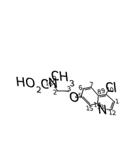 CN(CCOc1ccc2c(Cl)ccnc2c1)C(=O)O